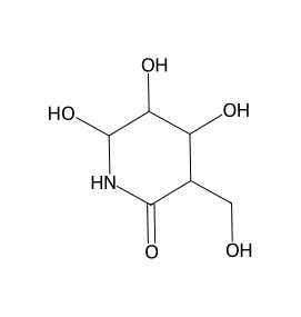 O=C1NC(O)C(O)C(O)C1CO